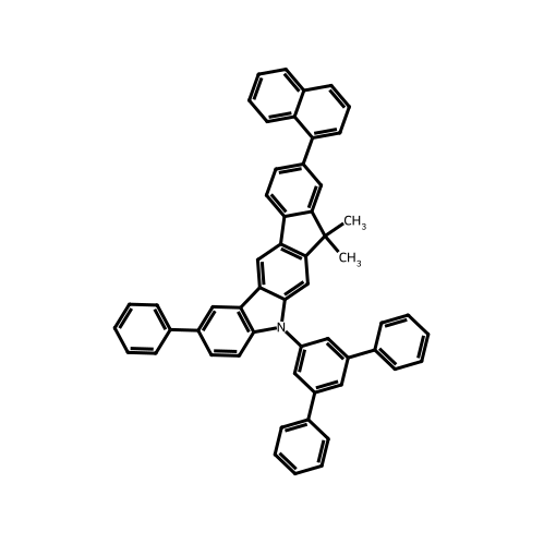 CC1(C)c2cc(-c3cccc4ccccc34)ccc2-c2cc3c4cc(-c5ccccc5)ccc4n(-c4cc(-c5ccccc5)cc(-c5ccccc5)c4)c3cc21